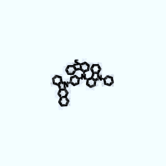 c1ccc(-n2c3ccccc3c3c(N(c4ccc(-n5c6ccccc6c6cc7ccccc7cc65)cc4)c4cccc5sc6ccccc6c45)cccc32)cc1